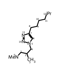 CNCC(C)Cn1cc(CCCCC(C)C)nn1